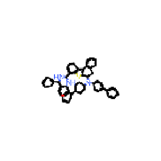 C1=CCCC(C2=CCC(N(c3ccc(-c4ccccc4)cc3)C3Cc4ccccc4-c4c3sc3c4CCC=C3C3Nc4ccccc4C(C4=CC=CCC4)N3)C=C2)=C1